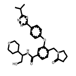 CC(C)c1nnc(-c2ccc(Oc3cc(C(=O)NC(CO)C4CCOCC4)ccc3CN3CCCC3=O)cc2)s1